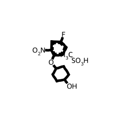 CS(=O)(=O)O.O=[N+]([O-])c1cc(F)ccc1OC1CCC(O)CC1